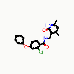 Cc1cc(C)c(CNC(=O)c2ccc(Oc3ccccc3)cc2Cl)c(=O)[nH]1